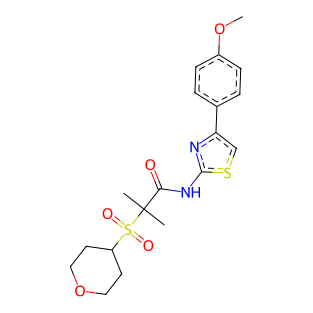 COc1ccc(-c2csc(NC(=O)C(C)(C)S(=O)(=O)C3CCOCC3)n2)cc1